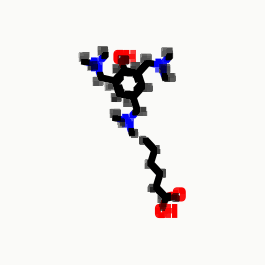 CCCCCC(=O)O.CN(C)Cc1cc(CN(C)C)c(O)c(CN(C)C)c1